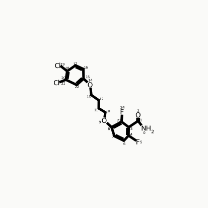 NC(=O)c1c(F)ccc(OCCCCOc2ccc(Cl)c(Cl)c2)c1F